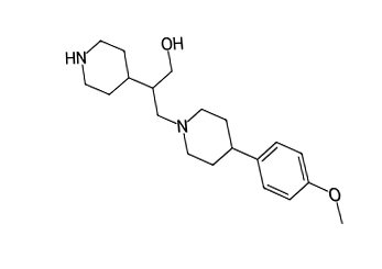 COc1ccc(C2CCN(CC(CO)C3CCNCC3)CC2)cc1